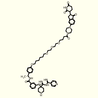 C[C@@H](NC(=O)c1cccc(NC2(C(=N)NC(=N)c3ccncc3)CCNCC2)c1)c1ccc(OCCCCCCOCCOCCOCCCC(=O)N2CCN(c3ccc4c(c3)CC(C3CCC(=O)NC3=O)C4=O)CC2)cc1